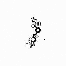 O=C1NC(=S)SC1=Cc1ccc(-c2cccc(C(=O)Nn3cnnc3)c2)o1